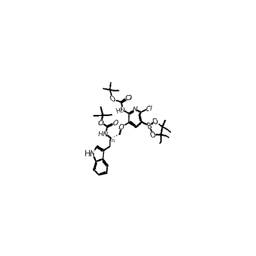 CC(C)(C)OC(=O)Nc1nc(Cl)c(B2OC(C)(C)C(C)(C)O2)cc1OC[C@H](Cc1c[nH]c2ccccc12)NC(=O)OC(C)(C)C